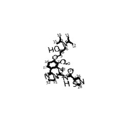 COc1c(OC[C@H](O)CN(C(C)C)C(C)C)ccc2c1N=C(NC(=O)c1cncs1)N1CCN=C21